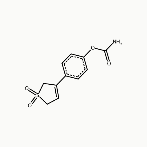 NC(=O)Oc1ccc(C2=CCS(=O)(=O)C2)cc1